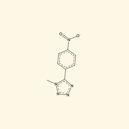 Cn1nnnc1-c1ccc([N+](=O)[O-])cc1